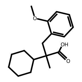 COc1ccccc1CC(C)(C(=O)O)C1CCCCC1